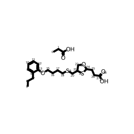 CCC(=O)O.CCCc1ccccc1OCCCCSCC1COC(CCC(=O)O)S1